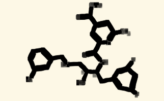 CCc1cccc(CNC[C@H](O)[C@H](Cc2cc(F)cc(F)c2)NC(=O)c2cc(C(=O)OC)cc(C)n2)c1